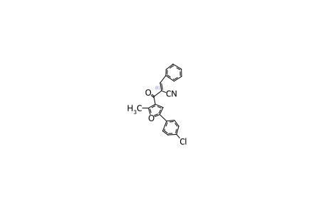 Cc1oc(-c2ccc(Cl)cc2)cc1C(=O)/C(C#N)=C/c1ccccc1